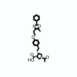 CC(=O)N1C[C@@H](CCc2ccc(OCCc3nc(-c4ccccc4)oc3C)cc2)[C@H](C(=O)O)C1